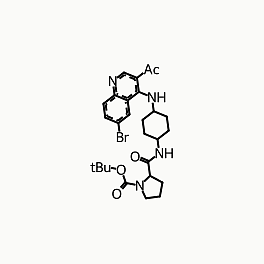 CC(=O)c1cnc2ccc(Br)cc2c1NC1CCC(NC(=O)C2CCCN2C(=O)OC(C)(C)C)CC1